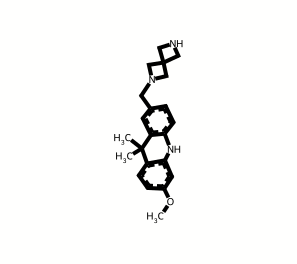 COc1ccc2c(c1)Nc1ccc(CN3CC4(CNC4)C3)cc1C2(C)C